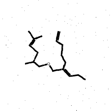 C=CCCC/C(=C\CC)COCC(C)CC=C(C)C